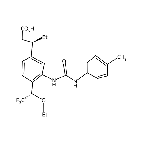 CCO[C@@H](c1ccc([C@H](CC)CC(=O)O)cc1NC(=O)Nc1ccc(C)cc1)C(F)(F)F